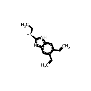 C=Cc1cc2nc(NCC)[nH]c2cc1C=C